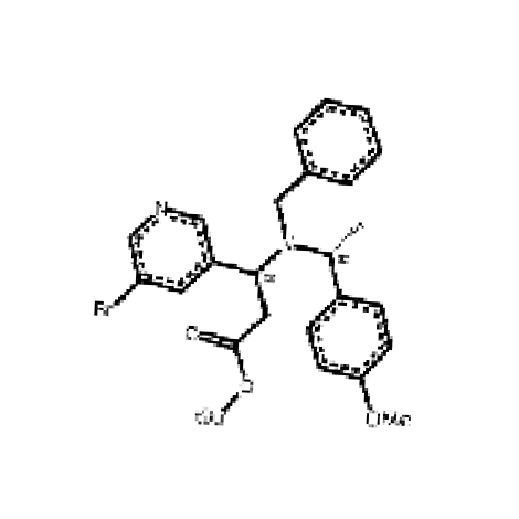 COc1ccc([C@@H](C)N(Cc2ccccc2)[C@@H](CC(=O)OC(C)(C)C)c2cncc(Br)c2)cc1